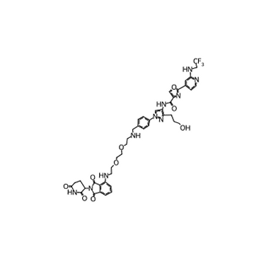 O=C1CCC(N2C(=O)c3cccc(NCCOCCOCCNCc4ccc(-n5cc(NC(=O)c6coc(-c7ccnc(NCC(F)(F)F)c7)n6)c(CCCO)n5)cc4)c3C2=O)C(=O)N1